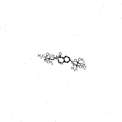 CC1(C)OB(c2ccc3c(=O)n(CCC(C)(C(=O)O)S(C)(=O)=O)cnc3c2)OC1(C)C